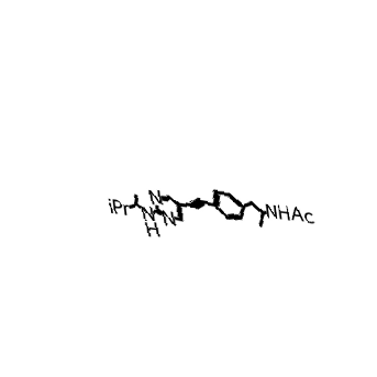 CC(=O)NC(C)Cc1ccc(C#Cc2cnc(NC(C)C(C)C)nc2)cc1